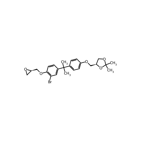 CC1(C)OC[C@H](COc2ccc(C(C)(C)c3ccc(OC[C@H]4CO4)c(Br)c3)cc2)O1